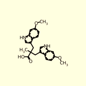 COc1ccc2c(CC(C)(Cc3c[nH]c4cc(OC)ccc34)C(=O)O)c[nH]c2c1